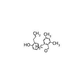 C=CCc1ccccc1O.Cc1cc(C)c(C=O)c(C)c1